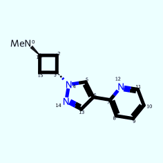 CN[C@H]1C[C@H](n2cc(-c3ccccn3)cn2)C1